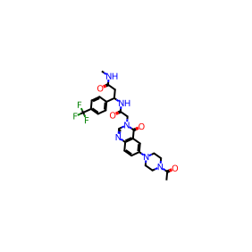 CNC(=O)CC(NC(=O)Cn1cnc2ccc(N3CCN(C(C)=O)CC3)cc2c1=O)c1ccc(C(F)(F)F)cc1